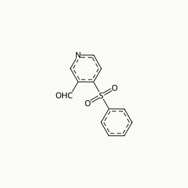 O=Cc1cnccc1S(=O)(=O)c1ccccc1